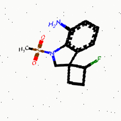 CS(=O)(=O)N1CC2(CCC2F)c2cccc(N)c21